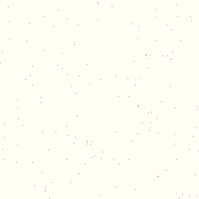 COC(=O)C(C)Oc1cccc(Oc2ccc(C(F)(F)F)cc2[N+](=O)[O-])c1